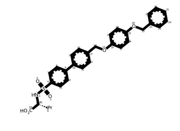 CC(C)[C@@H](NS(=O)(=O)c1ccc(-c2ccc(COc3ccc(OCc4ccccc4)cc3)cc2)cc1)C(=O)O